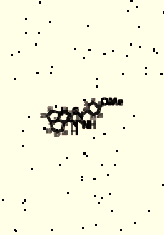 COc1ccc(N(C)C(=N)Nc2ccc3c4c(cccc24)C=C3)cc1